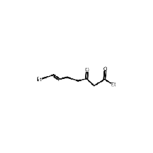 CCC=CCCC(=O)CC(=O)CC